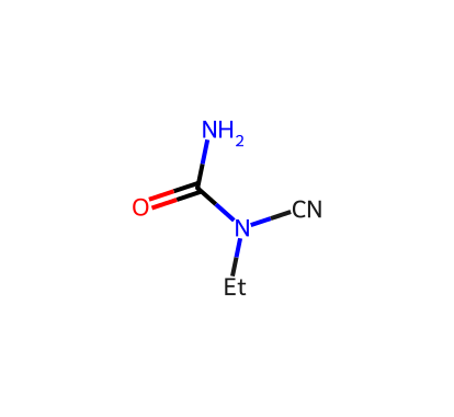 CCN(C#N)C(N)=O